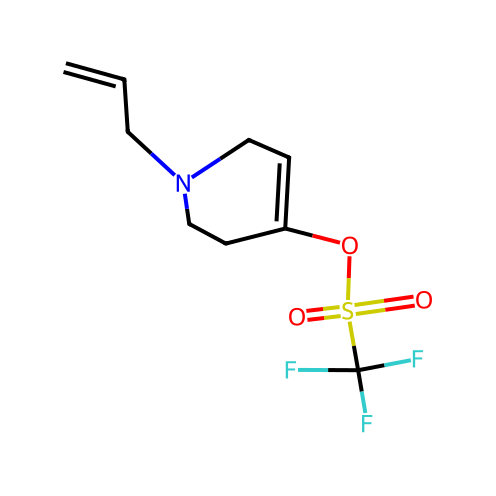 C=CCN1CC=C(OS(=O)(=O)C(F)(F)F)CC1